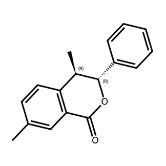 Cc1ccc2c(c1)C(=O)O[C@@H](c1ccccc1)[C@@H]2C